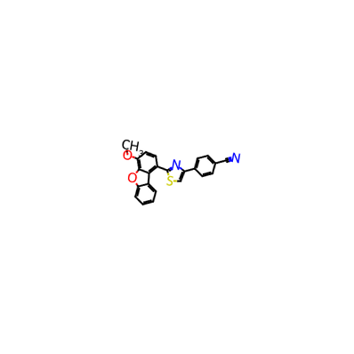 COc1ccc(-c2nc(-c3ccc(C#N)cc3)cs2)c2c1oc1ccccc12